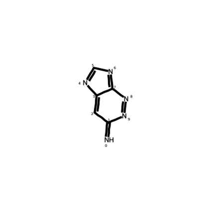 N=C1C=C2N=CN=C2N=N1